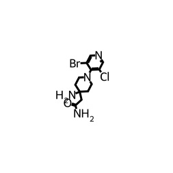 NC(=O)CC1(N)CCN(c2c(Cl)cncc2Br)CC1